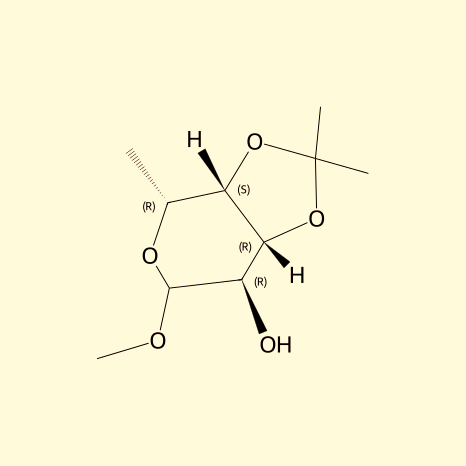 COC1O[C@H](C)[C@@H]2OC(C)(C)O[C@@H]2[C@H]1O